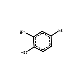 CCc1ccc(O)c(C(C)C)c1